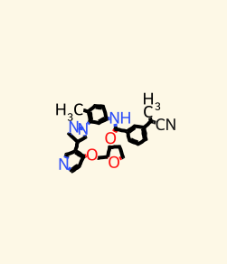 Cc1ccc(NC(=O)c2cccc(C(C)C#N)c2)cc1N1CC(c2cnccc2OCC2CCCO2)C=N1